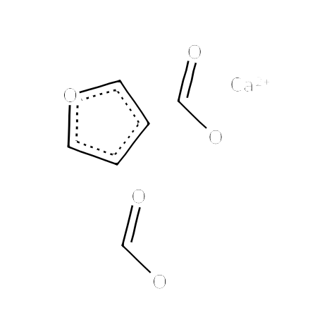 O=C[O-].O=C[O-].[Ca+2].c1ccoc1